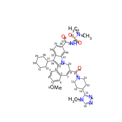 COc1ccc2c(c1)C=C(C(=O)N1CCC(c3nncn3C)CC1)Cn1c-2c(C2CCCCC2)c2ccc(C(=O)NS(=O)(=O)N(C)C)cc21